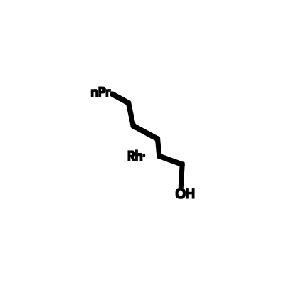 CCCCCCCCO.[Rh]